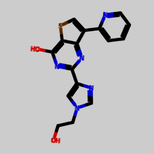 OCCn1cnc(-c2nc(O)c3scc(-c4ccccn4)c3n2)c1